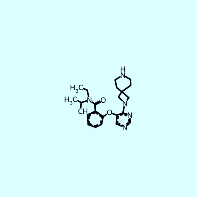 CCN(C(=O)c1ccccc1Oc1cncnc1N1CC2(CCNCC2)C1)C(C)C